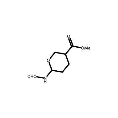 COC(=O)C1CCC(NC=O)OC1